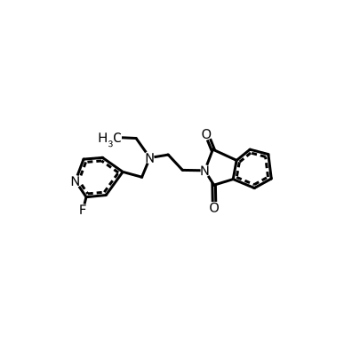 CCN(CCN1C(=O)c2ccccc2C1=O)Cc1ccnc(F)c1